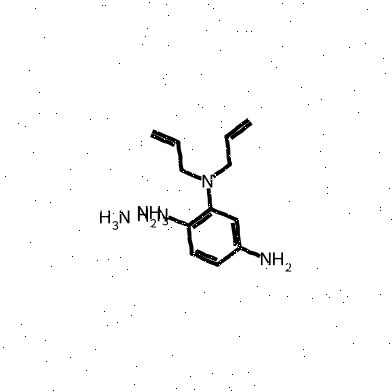 C=CCN(CC=C)c1cc(N)ccc1N.N.N